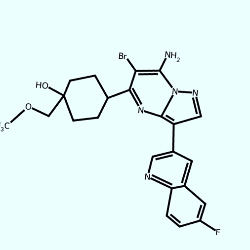 COCC1(O)CCC(c2nc3c(-c4cnc5ccc(F)cc5c4)cnn3c(N)c2Br)CC1